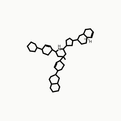 CC1(C2C=CC(C3CCC4CCCCC4C3)CC2)CC(C2C=CC(C3CCCCC3)CC2)NC(C2CCC(C3CC[C@@H]4C=CCCC4C3)C2)C1